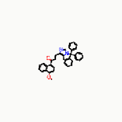 COc1ccc(C(=O)C=Cc2ncn(C(c3ccccc3)(c3ccccc3)c3ccccc3)c2C)c2ccccc12